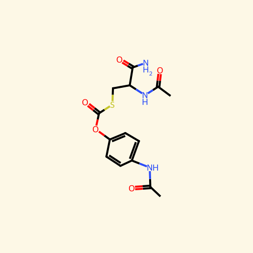 CC(=O)Nc1ccc(OC(=O)SCC(NC(C)=O)C(N)=O)cc1